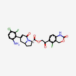 Nc1ccc(Cl)c(F)c1C1=CC(=O)N2C(CC[C@H]2C(=O)OCC(=O)c2ccc3c(c2F)COC(=O)N3)C1